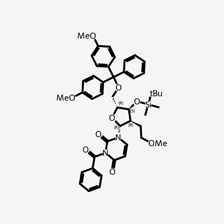 COCC[C@@H]1[C@H](O[Si](C)(C)C(C)(C)C)[C@@H](COC(c2ccccc2)(c2ccc(OC)cc2)c2ccc(OC)cc2)O[C@H]1n1ccc(=O)n(C(=O)c2ccccc2)c1=O